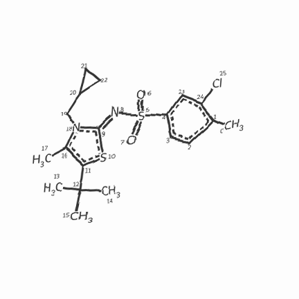 Cc1ccc(S(=O)(=O)/N=c2\sc(C(C)(C)C)c(C)n2CC2CC2)cc1Cl